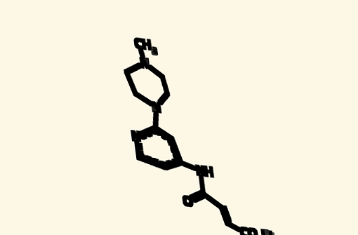 CCOC(=O)/C=C/C(=O)Nc1ccnc(N2CCN(C)CC2)c1